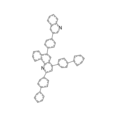 c1ccc(-c2ccc(-c3cc(-c4ccc(-c5ccccc5)cc4)c4cc(-c5ccc(-c6cnc7ccccc7c6)cc5)c5ccccc5c4n3)cc2)cc1